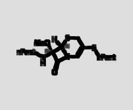 CCCCCN[C@]1(OC)C(=O)N2C=C(SCCCCC)CS[C@H]21